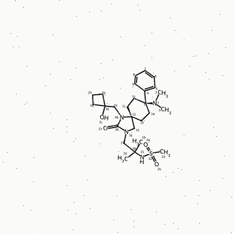 CN(C)[C@]1(c2ccccc2)CC[C@@]2(CC1)CN(CC(C)(C)NS(C)(=O)=O)C(=O)N2CC1(O)CCC1